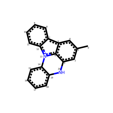 Cc1cc2c3c(c1)c1ccccc1n3-c1ccccc1N2